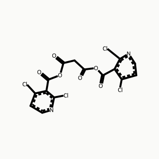 O=C(CC(=O)OC(=O)c1c(Cl)ccnc1Cl)OC(=O)c1c(Cl)ccnc1Cl